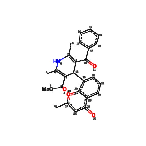 COC(=O)C1=C(C)NC(C)=C(C(=O)c2ccccc2)C1c1cccc2c(=O)cc(C)oc12